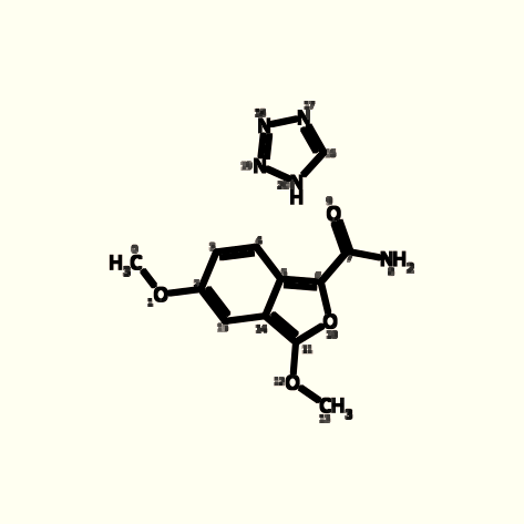 COc1ccc2c(C(N)=O)oc(OC)c2c1.c1nnn[nH]1